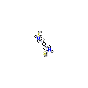 c1ccc(N(c2ccc3sc4ccccc4c3c2)c2cccc3c2c2cccc4c5cc6c(cc5n3c42)c2cccc3c4c(N(c5ccccc5)c5cccc7c5sc5ccccc57)cccc4n6c23)cc1